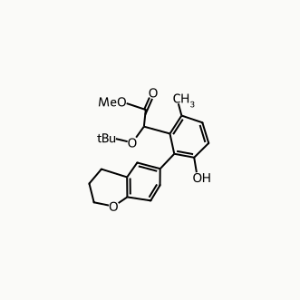 COC(=O)C(OC(C)(C)C)c1c(C)ccc(O)c1-c1ccc2c(c1)CCCO2